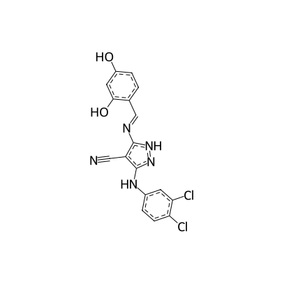 N#Cc1c(Nc2ccc(Cl)c(Cl)c2)n[nH]c1/N=C/c1ccc(O)cc1O